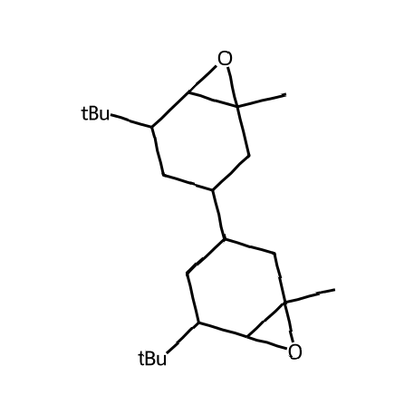 CC(C)(C)C1CC(C2CC(C(C)(C)C)C3OC3(C)C2)CC2(C)OC12